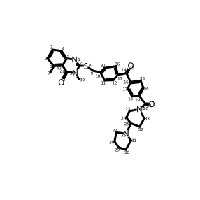 Cc1cccc2nc(SCc3ccc(C(=O)c4ccc(C(=O)N5CCC(N6CCCCC6)CC5)cc4)cc3)n(C)c(=O)c12